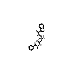 CN(NC(=O)CS(=O)(=O)NN(C)C(=S)c1csc2ccccc12)C(=S)c1ccccc1